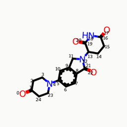 O=C1CCN(c2ccc3c(c2)CN(C2CCC(=O)NC2=O)C3=O)CC1